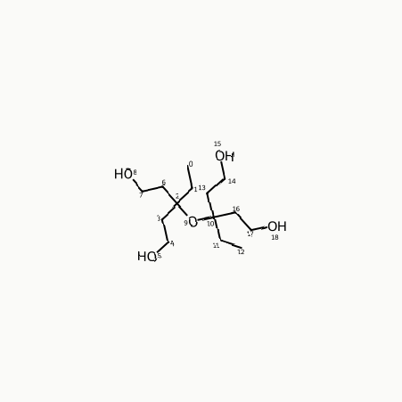 CCC(CCO)(CCO)OC(CC)(CCO)CCO